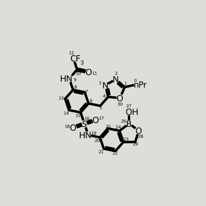 CCCc1nnc(Cc2cc(NC(=O)C(F)(F)F)ccc2S(=O)(=O)Nc2ccc3c(c2)B(O)OC3)o1